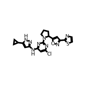 Clc1cc(Nc2cc(C3CC3)[nH]n2)nc(N2CCCC2c2cc(-c3nccs3)no2)n1